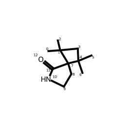 CC1(C)CC(C)(C)C12CCNC2=O